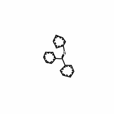 [c]1ccccc1N=C(c1ccccc1)c1ccccc1